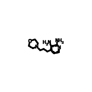 Nc1nccc(CCCN2CCOCC2)c1N